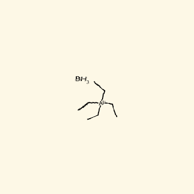 B.C[CH2][Al-]([CH2]C)([CH2]C)[CH2]C